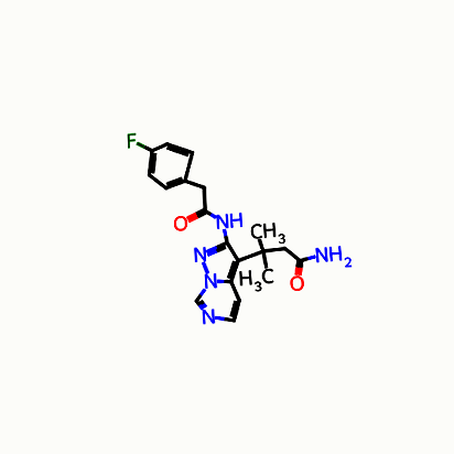 CC(C)(CC(N)=O)c1c(NC(=O)Cc2ccc(F)cc2)nn2cnccc12